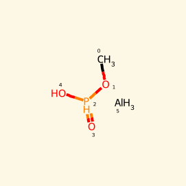 CO[PH](=O)O.[AlH3]